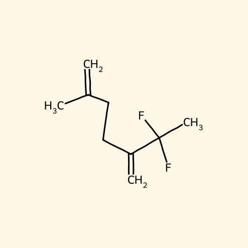 C=C(C)CCC(=C)C(C)(F)F